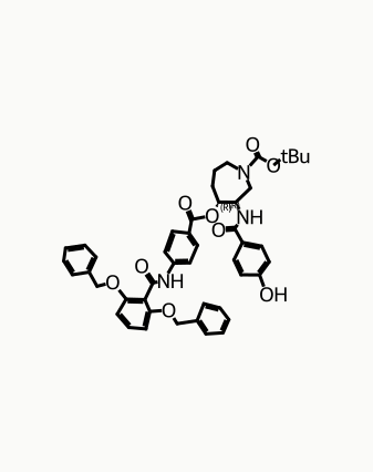 CC(C)(C)OC(=O)N1CCC[C@@H](OC(=O)c2ccc(NC(=O)c3c(OCc4ccccc4)cccc3OCc3ccccc3)cc2)[C@H](NC(=O)c2ccc(O)cc2)C1